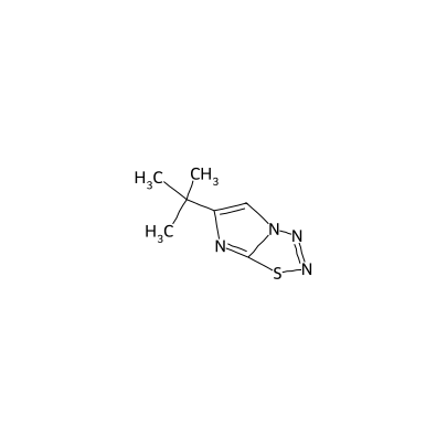 CC(C)(C)c1cn2nnsc2n1